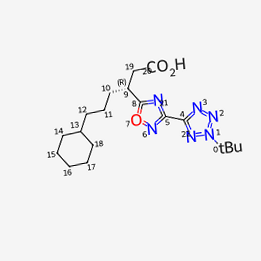 CC(C)(C)n1nnc(-c2noc([C@H](CCCC3CCCCC3)CC(=O)O)n2)n1